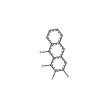 Fc1[c]c2cc3cc[c]cc3c(F)c2c(F)c1F